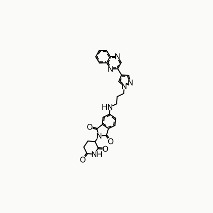 O=C1CCC(N2C(=O)c3ccc(NCCCn4cc(-c5cnc6ccccc6n5)cn4)cc3C2=O)C(=O)N1